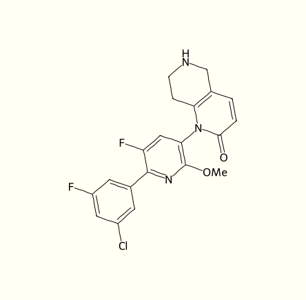 COc1nc(-c2cc(F)cc(Cl)c2)c(F)cc1-n1c2c(ccc1=O)CNCC2